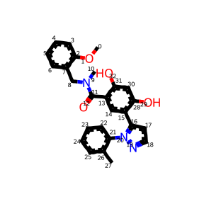 COc1ccccc1CN(C)C(=O)c1cc(-c2ccnn2-c2ccccc2C)c(O)cc1O